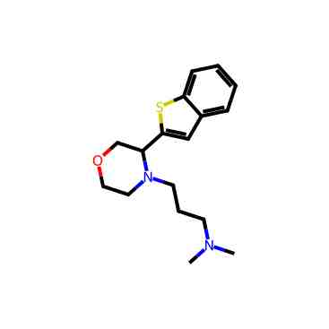 CN(C)CCCN1CCOCC1c1cc2ccccc2s1